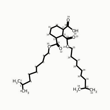 CC(C)CCCCCCCOC(=O)C1CCCC(C(=O)O)C1C(=O)OCCCCCCCC(C)C